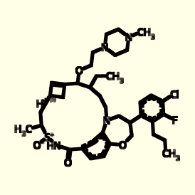 CCCc1c(C2COc3ccc4cc3N(CCC(CC)C(OCCN3CCN(C)CC3)C3=C[C@@H](C3)CC(C)[S+]([O-])NC4=O)C2)ccc(Cl)c1F